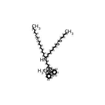 CCCCCSCSCCCCCCCCC(CCCCCCCCSCSCCCCC)NCCCCO[Si](c1ccccc1)(c1ccccc1)C(C)(C)C